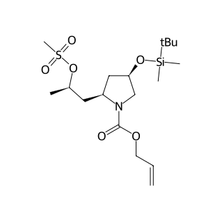 C=CCOC(=O)N1C[C@H](O[Si](C)(C)C(C)(C)C)C[C@@H]1C[C@@H](C)OS(C)(=O)=O